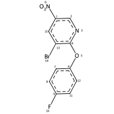 O=[N+]([O-])c1cnc(Oc2ccc(F)cc2)c(Br)c1